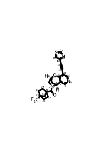 O=C(N1C[C@@H]2C[C@H]1c1cncc(C#Cc3cscn3)c1O2)C12CCC(C(F)(F)F)(CC1)C2